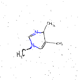 CC1=CN(C)C=NC1C